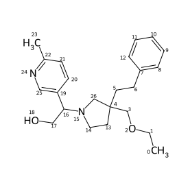 CCOCC1(CCc2ccccc2)CCN(C(CO)c2ccc(C)nc2)C1